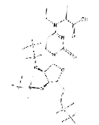 CCN(c1ccn([C@@H]2O[C@H](CO[Si](C)(C)C(C)(C)C)[C@@H](O[Si](C)(C)C(C)(C)C)[C@H]2O[Si](C)(C)C(C)(C)C)c(=O)n1)C(C)C(=O)O